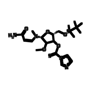 COC1C(OC(=S)n2ccnc2)[C@@H](CO[Si](C)(C)C(C)(C)C)O[C@H]1N(C)/C=C\C(N)=O